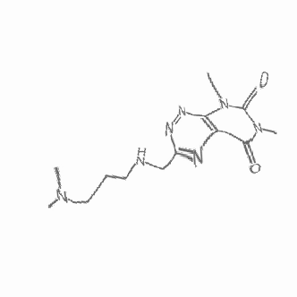 CN(C)CCCNCc1nnc2c(n1)c(=O)n(C)c(=O)n2C